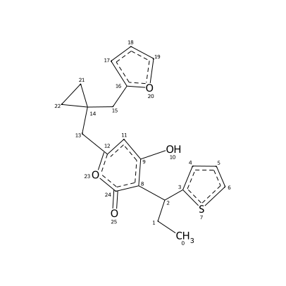 CCC(c1cccs1)c1c(O)cc(CC2(Cc3ccco3)CC2)oc1=O